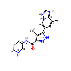 Cc1cc(-c2[nH]nc(C(=O)N[C@@H]3CCCNC3)c2C(C)C)cn2ncnc12